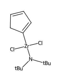 CC(C)(C)[N](C(C)(C)C)[Zr]([Cl])([Cl])[C]1=CC=CC1